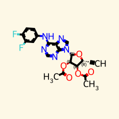 C#C[C@H]1O[C@@H](n2cnc3c(Nc4ccc(F)c(F)c4)ncnc32)[C@H](OC(C)=O)[C@@H]1OC(C)=O